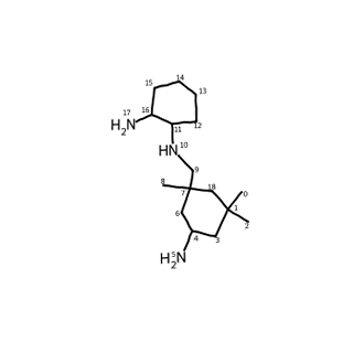 CC1(C)CC(N)CC(C)(CNC2CCCCC2N)C1